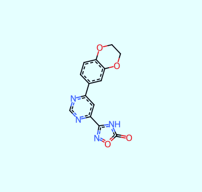 O=c1[nH]c(-c2cc(-c3ccc4c(c3)OCCO4)ncn2)no1